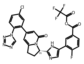 O=C(OC(=O)C(F)(F)F)c1ccc(F)c(-c2cnc([C@@H]3CCc4cc(-c5cc(Cl)ccc5-n5cnnn5)cc(=O)n43)[nH]2)c1